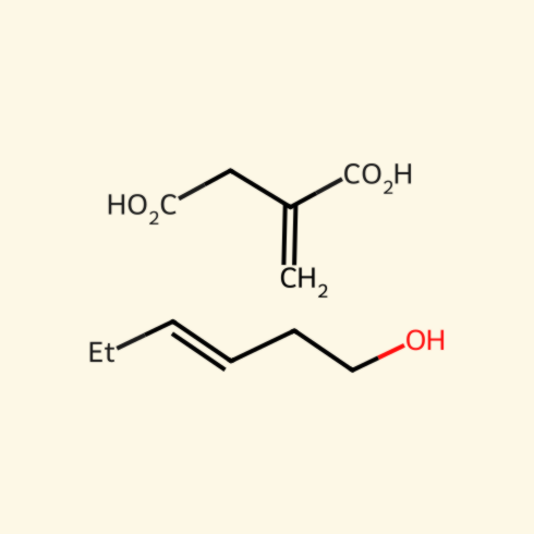 C=C(CC(=O)O)C(=O)O.CCC=CCCO